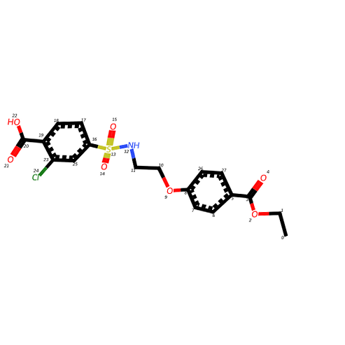 CCOC(=O)c1ccc(OCCNS(=O)(=O)c2ccc(C(=O)O)c(Cl)c2)cc1